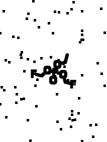 CCOP(=O)(OCF)OCF